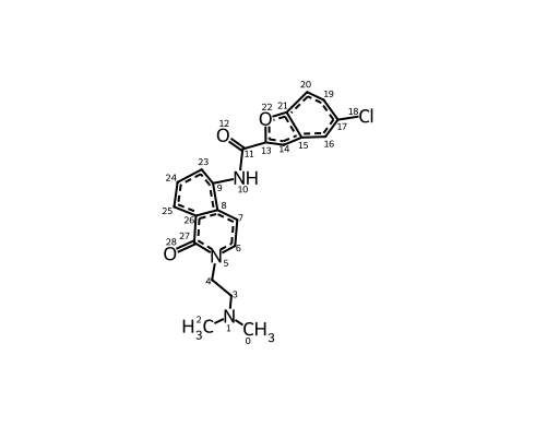 CN(C)CCn1ccc2c(NC(=O)c3cc4cc(Cl)ccc4o3)cccc2c1=O